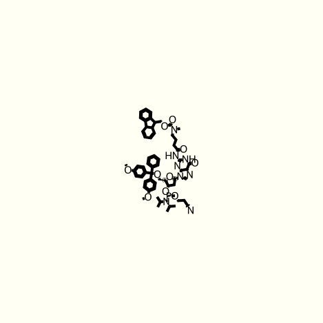 COc1ccc(C(OC[C@H]2O[C@@H](N3C=NC4C(=O)NC(NC(=O)CCCN(C)C(=O)OCC5c6ccccc6C6C=CC=CC65)=NC43)CC2OP(OCCC#N)N(C(C)C)C(C)C)(c2ccccc2)c2ccc(OC)cc2)cc1